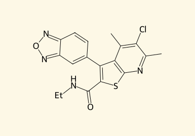 CCNC(=O)c1sc2nc(C)c(Cl)c(C)c2c1-c1ccc2nonc2c1